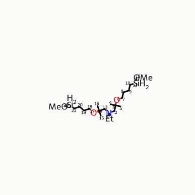 CCN(CC(C)(C)OCCCC[SiH2]OC)CC(C)(C)OCCCC[SiH2]OC